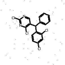 Clc1ccc(C(c2ccccc2)c2cnc(Cl)nc2Cl)c(Cl)c1